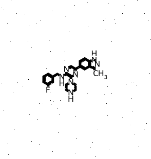 Cc1n[nH]c2ccc(-c3cnc(NCc4cccc(F)c4)c(N4CCNCC4)n3)cc12